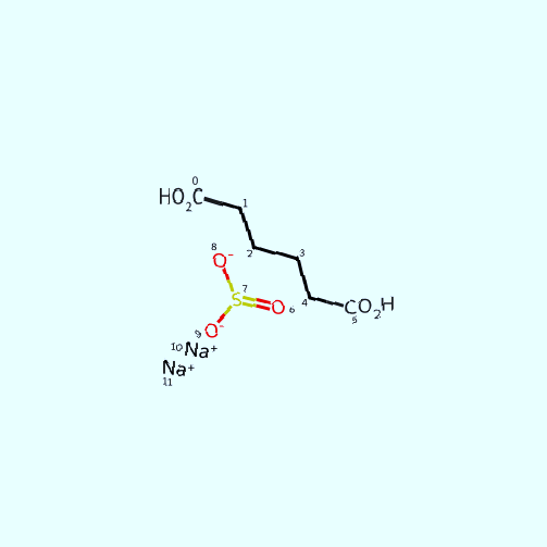 O=C(O)CCCCC(=O)O.O=S([O-])[O-].[Na+].[Na+]